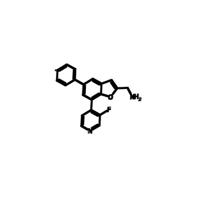 NCc1cc2cc(-c3cc[c]cc3)cc(-c3ccncc3F)c2o1